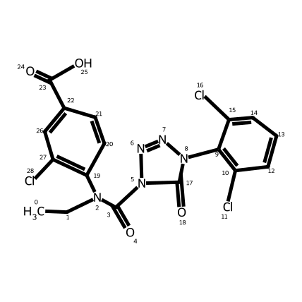 CCN(C(=O)n1nnn(-c2c(Cl)cccc2Cl)c1=O)c1ccc(C(=O)O)cc1Cl